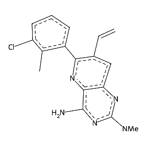 C=Cc1cc2nc(NC)nc(N)c2nc1-c1cccc(Cl)c1C